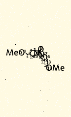 COCCC1CCN(C(=O)N2CCC(CCOC)CC2)CC1